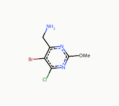 COc1nc(Cl)c(Br)c(CN)n1